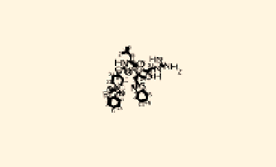 CC(C)C[C@H](NC(=O)OC1CCN(S(=O)(=O)c2ccccc2F)CC1)C(=O)N[C@](C=O)(CCCNC(=N)N)Cc1nc2ccccc2s1